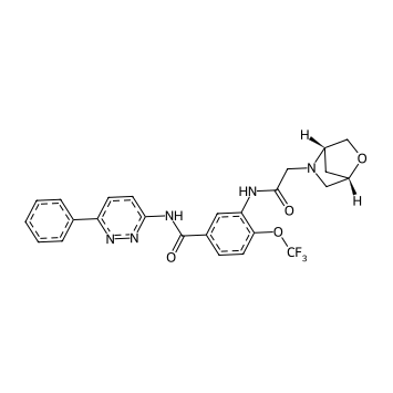 O=C(CN1C[C@@H]2C[C@H]1CO2)Nc1cc(C(=O)Nc2ccc(-c3ccccc3)nn2)ccc1OC(F)(F)F